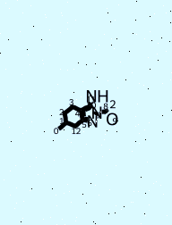 CC1CCc2c(nn(C=O)c2N)C1